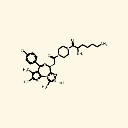 Cc1sc2c(c1C)C(c1ccc(Cl)cc1)=N[C@@H](CC(=O)N1CCN(C(=O)C(N)CCCCN)CC1)c1nnc(C)n1-2.Cl